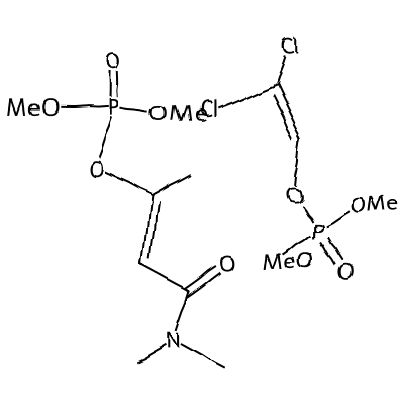 COP(=O)(OC)O/C(C)=C/C(=O)N(C)C.COP(=O)(OC)OC=C(Cl)Cl